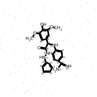 COc1cc(C(Nc2ccc(C(=N)N)cc2)C(=O)NNc2ccccc2)cc(OC)c1O